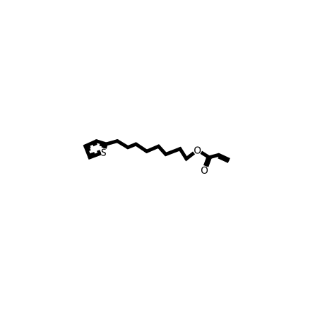 C=CC(=O)OCCCCCCCCc1cccs1